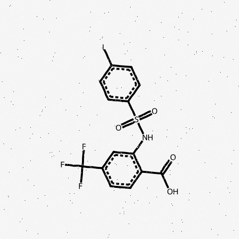 O=C(O)c1ccc(C(F)(F)F)cc1NS(=O)(=O)c1ccc(I)cc1